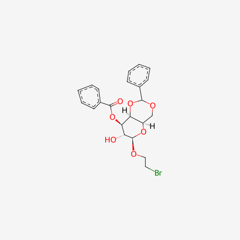 O=C(O[C@@H]1[C@@H](O)[C@H](OCCBr)O[C@@H]2COC(c3ccccc3)O[C@H]12)c1ccccc1